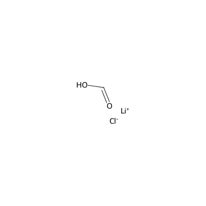 O=CO.[Cl-].[Li+]